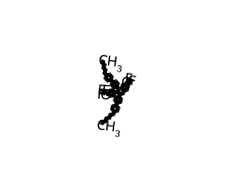 CCCCCCCC1CCC(c2ccc(C(Cc3ccc(OC(F)(F)F)cc3)C(Cc3ccc(C4CCC(CCCCCC)CC4)cc3)c3ccc(OC(F)(F)F)cc3)cc2)CC1